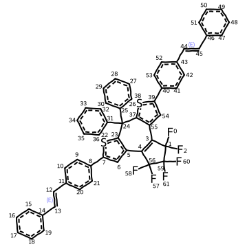 FC1(F)C2=C(c3cc(-c4ccc(/C=C/c5ccccc5)cc4)sc3C(c3ccccc3)(c3ccccc3)c3sc(-c4ccc(/C=C/c5ccccc5)cc4)cc32)C(F)(F)C1(F)F